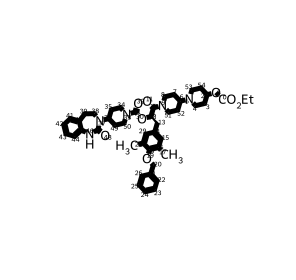 CCOC(=O)OC1CCN(C2CCN(C(=O)[C@@H](Cc3cc(C)c(OCc4ccccc4)c(C)c3)OC(=O)N3CCC(N4CCc5ccccc5NC4=O)CC3)CC2)CC1